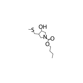 CCCCOC(=O)N1CC(O)C(CSC)C1